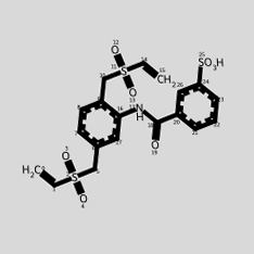 C=CS(=O)(=O)Cc1ccc(CS(=O)(=O)C=C)c(NC(=O)c2cc[c]c(S(=O)(=O)O)c2)c1